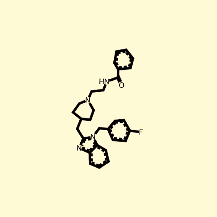 O=C(NCCN1CCC(Cc2nc3ccccc3n2Cc2ccc(F)cc2)CC1)c1ccccc1